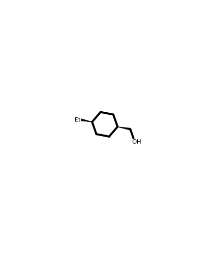 CC[C@H]1CC[C@@H](CO)CC1